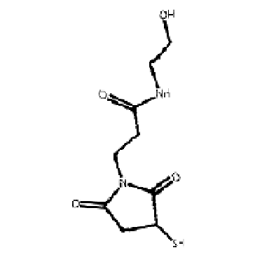 O=C(CCN1C(=O)CC(S)C1=O)NCCO